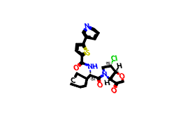 O=C(N[C@H](C(=O)N1C[C@H](Cl)[C@H]2OCC(=O)[C@H]21)C1CCCCC1)c1ccc(-c2cccnc2)s1